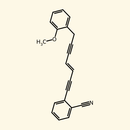 COc1ccccc1CC#CC=CC#Cc1ccccc1C#N